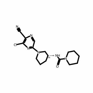 N#Cc1ncc(N2CCC[C@@H](NC(=O)N3CCCCC3)C2)nc1Cl